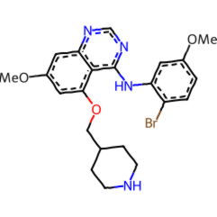 COc1ccc(Br)c(Nc2ncnc3cc(OC)cc(OCC4CCNCC4)c23)c1